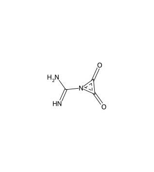 N=C(N)n1c(=O)c1=O